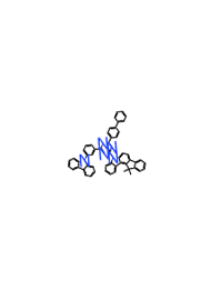 CC1(C)c2ccccc2-c2ccc3c(c21)c1ccccc1n3-c1nc(-c2ccc(-c3ccccc3)cc2)nc(-c2cccc(-n3c4ccccc4c4ccccc43)c2)n1